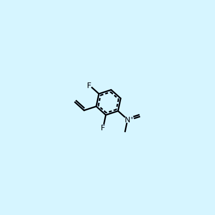 C=Cc1c(F)ccc([N+](=C)C)c1F